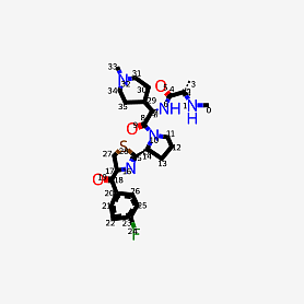 CN[C@@H](C)C(=O)N[C@H](C(=O)N1CCC[C@H]1C1=NC(C(=O)c2ccc(F)cc2)CS1)C1CCN(C)CC1